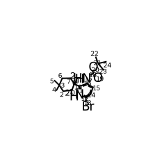 [2H]C1CC(C)(C)CCC1([2H])c1nc(Br)ccc1NC(=O)OC(C)(C)C